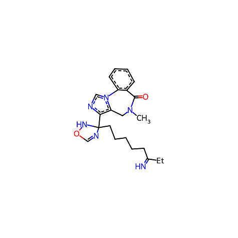 CCC(=N)CCCCCC1(c2ncn3c2CN(C)C(=O)c2ccccc2-3)N=CON1